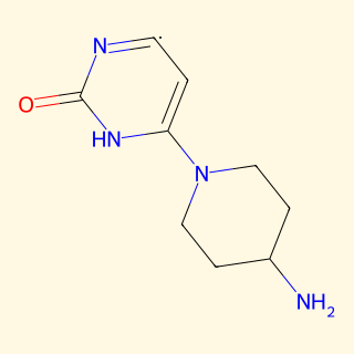 NC1CCN(c2c[c]nc(=O)[nH]2)CC1